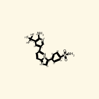 Nc1ncc(-c2ccc3ncc(-c4ccc(S(N)(=O)=O)cc4)n3n2)cc1C(F)(F)F